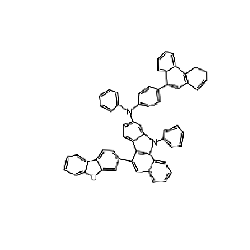 C1=Cc2cc(-c3ccc(N(c4ccccc4)c4ccc5c6c(-c7ccc8c(c7)oc7ccccc78)cc7ccccc7c6n(-c6ccccc6)c5c4)cc3)c3ccccc3c2CC1